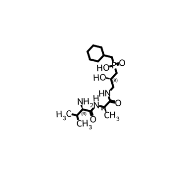 CC(C)[C@@H](N)C(=O)N[C@H](C)C(=O)NC[C@@H](O)CP(=O)(O)CC1CCCCC1